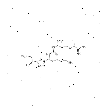 N=C(N)NCCC[C@H](NC(=O)N[C@@H](CCCCN)c1nc([C@@H](N)CC(=O)O)no1)C(=O)O